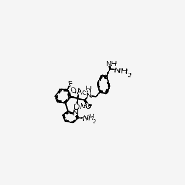 CO[C@@](OC(C)=O)(C(=O)NCc1ccc(C(=N)N)cc1)c1c(F)cccc1-c1cccc(N)n1